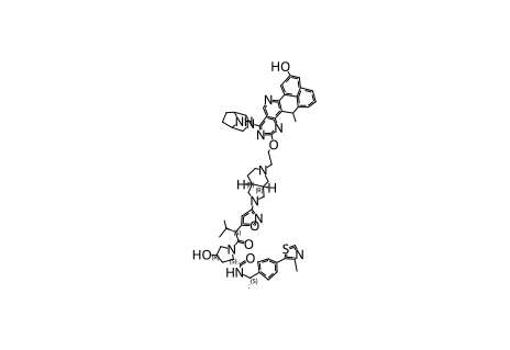 Cc1ncsc1-c1ccc([C@H](C)NC(=O)[C@@H]2C[C@@H](O)CN2C(=O)[C@H](c2cc(N3C[C@H]4CN(CCOc5nc(N6CC7CCC(C6)N7)c6cnc7c(c6n5)C(C)c5cccc6cc(O)cc-7c56)CC[C@H]4C3)no2)C(C)C)cc1